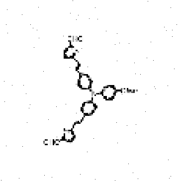 COc1ccc(N(c2ccc(C=Cc3ccc(C=O)s3)cc2)c2ccc(C=Cc3ccc(C=O)s3)cc2)cc1